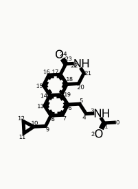 CC(=O)NCCc1cc(CC2CC2)cc2ccc3c(c12)CCNC3=O